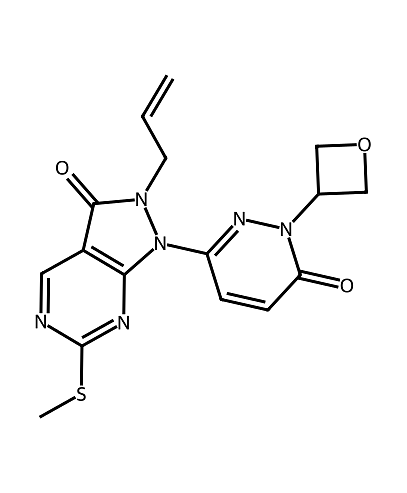 C=CCn1c(=O)c2cnc(SC)nc2n1-c1ccc(=O)n(C2COC2)n1